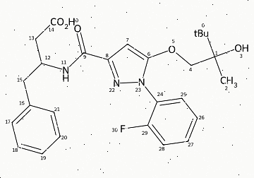 CC(C)(C)C(C)(O)COc1cc(C(=O)NC(CC(=O)O)Cc2ccccc2)nn1-c1ccccc1F